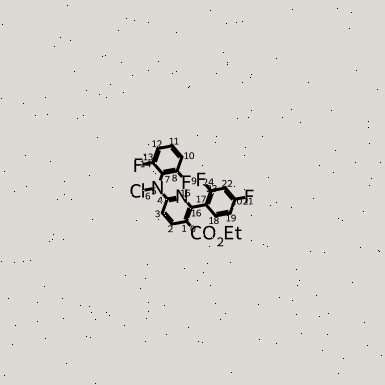 CCOC(=O)c1ccc(N(Cl)c2c(F)cccc2F)nc1-c1ccc(F)cc1F